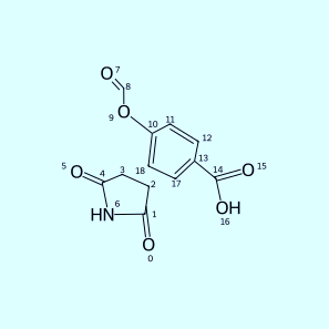 O=C1CCC(=O)N1.O=COc1ccc(C(=O)O)cc1